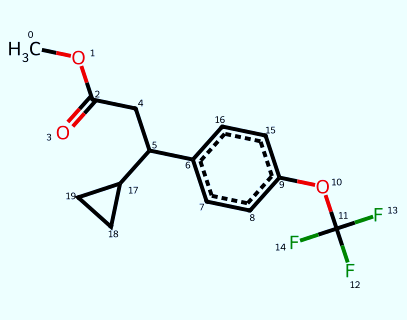 COC(=O)CC(c1ccc(OC(F)(F)F)cc1)C1CC1